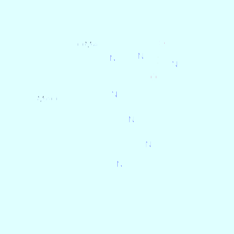 COc1cc(OC)cc(N(Cc2nccn2S(=O)(=O)N(C)C)c2ccc3ncc(-c4ccccc4)nc3n2)c1